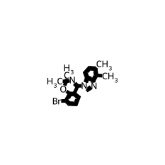 Cc1ccc2c(ncn2C2=NC(C)(C)Oc3c(Br)cccc32)c1C